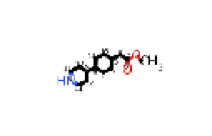 COC(=O)CC1CCC(C2CCNCC2)CC1